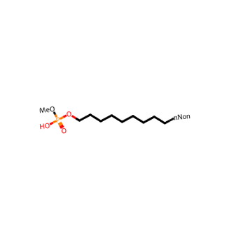 CCCCCCCCCCCCCCCCCCOP(=O)(O)OC